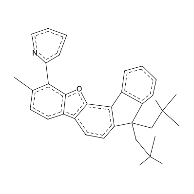 Cc1ccc2c(oc3c4c(ccc32)C(CC(C)(C)C)(CC(C)(C)C)c2ccccc2-4)c1-c1ccccn1